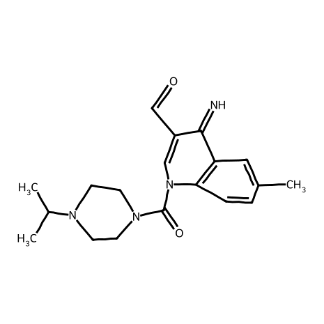 Cc1ccc2c(c1)c(=N)c(C=O)cn2C(=O)N1CCN(C(C)C)CC1